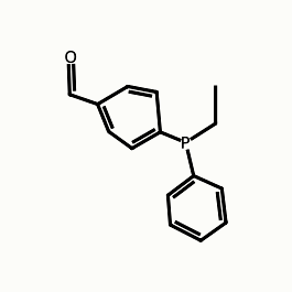 CCP(c1ccccc1)c1ccc(C=O)cc1